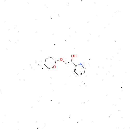 OC(COC1CCCCO1)c1ccccn1